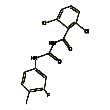 O=C(NC(=O)c1c(Cl)cccc1Cl)Nc1ccc(I)c(F)c1